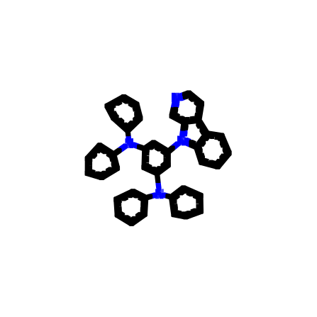 c1ccc(N(c2ccccc2)c2cc(N(c3ccccc3)c3ccccc3)cc(-n3c4ccccc4c4ccncc43)c2)cc1